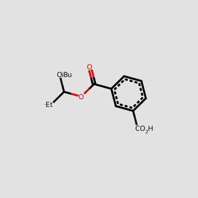 C[CH]C(OCC(C)C)OC(=O)c1cccc(C(=O)O)c1